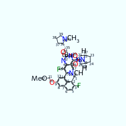 C#Cc1c(F)ccc2cc(OCOC)cc(-c3ncc4c(N5C[C@H]6CC[C@@H](C5)N6C(=O)OC(C)(C)C)nc(OC[C@@H]5CCCN5C)nc4c3F)c12